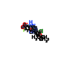 COc1cc(F)c([N+](=O)[O-])cc1Nc1cc(Nc2ccc(OC(C)(C)C)c(Cl)c2)ncn1